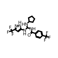 O=C(NC(Nc1cc(C(F)(F)F)n[nH]1)NC1CCCC1)c1ccc(C(F)(F)F)cc1